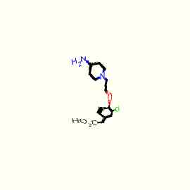 NC1CCN(CCOc2ccc(CC(=O)O)cc2Cl)CC1